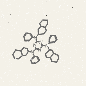 c1ccc(N(c2nc(N(c3ccccc3)C3CCC4CCCCC4C3)nc(N(c3ccccc3)C3CCC4CCCCC4C3)n2)C2CCC3CCCCC3C2)cc1